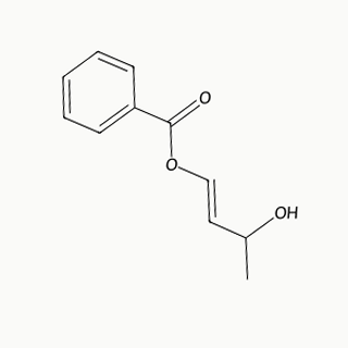 CC(O)C=COC(=O)c1ccccc1